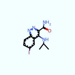 CC(C)Nc1c(C(N)=O)nnc2ccc(I)cc12